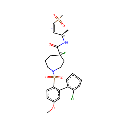 COc1ccc(S(=O)(=O)N2CCC[C@](F)(C(=O)N[C@H](C)/C=C\S(C)(=O)=O)CC2)c(-c2ccccc2Cl)c1